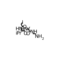 CC(C)[C@H](NC(=O)CI)C(=O)N[C@@H](C)C(=O)NCCN